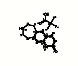 O=C(O)C(F)(F)F.O=c1cnc2cc3c(cc2[nH]1)CCNCC3